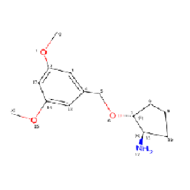 COc1cc(CO[C@@H]2CCC[C@H]2N)cc(OC)c1